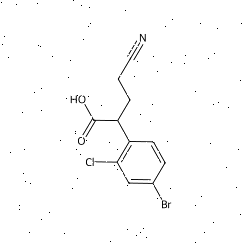 N#CCCC(C(=O)O)c1ccc(Br)cc1Cl